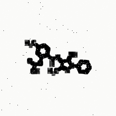 CC1=NN(c2ccccc2)C(=N)/C1=N/Nc1ccc(C)cc1OS(=O)O